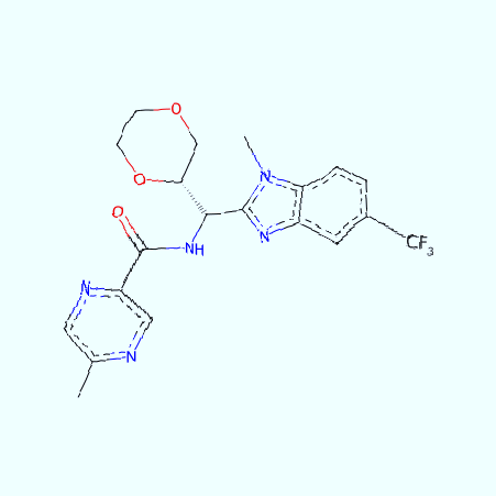 Cc1cnc(C(=O)NC(c2nc3cc(C(F)(F)F)ccc3n2C)[C@H]2COCCO2)cn1